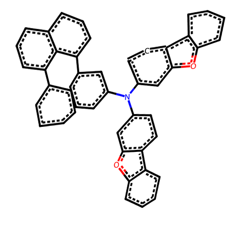 c1ccc(-c2cccc3cccc(-c4cccc(N(c5ccc6c(c5)oc5ccccc56)c5ccc6c(c5)oc5ccccc56)c4)c23)cc1